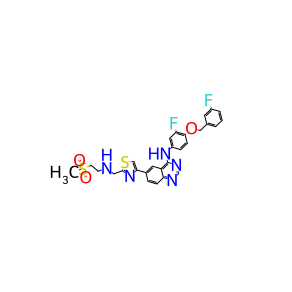 CS(=O)(=O)CCNCc1nc(-c2ccc3ncnc(Nc4ccc(OCc5cccc(F)c5)c(F)c4)c3c2)cs1